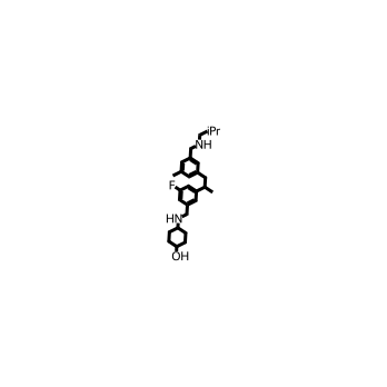 Cc1cc(CNCC(C)C)cc(CC(C)c2cc(F)cc(CNC3CCC(O)CC3)c2)c1